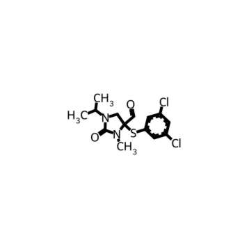 CC(C)N1CC(C=O)(Sc2cc(Cl)cc(Cl)c2)N(C)C1=O